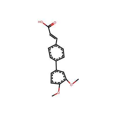 COc1ccc(-c2ccc(/C=C/C(=O)O)cc2)cc1OC